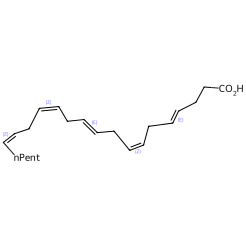 CCCCC/C=C\C/C=C\C/C=C/C/C=C\C/C=C/CCC(=O)O